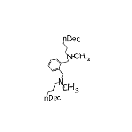 CCCCCCCCCCCCCN(C)Cc1ccccc1CN(C)CCCCCCCCCCCCC